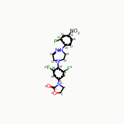 O=C1OCCN1c1cc(F)c(N2CC=NN(c3ccc([N+](=O)[O-])cc3F)CC2)c(F)c1